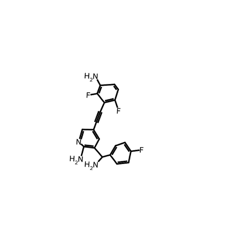 Nc1ccc(F)c(C#Cc2cnc(N)c(C(N)c3ccc(F)cc3)c2)c1F